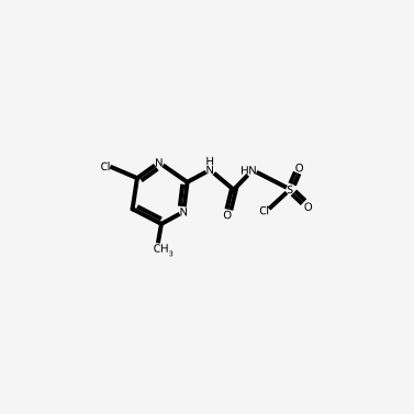 Cc1cc(Cl)nc(NC(=O)NS(=O)(=O)Cl)n1